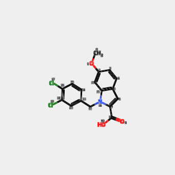 COc1ccc2cc(C(=O)O)n(Cc3ccc(Cl)c(Cl)c3)c2c1